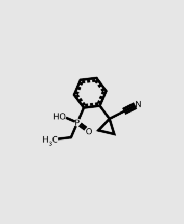 CCP(=O)(O)c1ccccc1C1(C#N)CC1